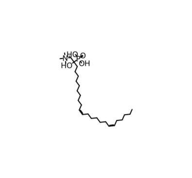 CCCCC/C=C\CCCCC/C=C\CCCCCCCCCC(O)(C[N+](C)(C)C)P(=O)(O)O